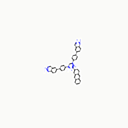 c1ccc2cc3cc(-c4nc(-c5ccc(-c6ccc7cnccc7c6)cc5)cc(-c5ccc(-c6ccc7cnccc7c6)cc5)n4)ccc3cc2c1